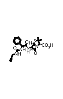 C#CCNC(=O)N[C@@H](C(=O)N[C@@H]1C(=O)N2[C@@H]1SC(C)(C)[C@@H]2C(=O)O)c1ccccc1